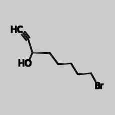 C#CC(O)CCCCCBr